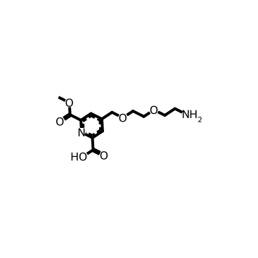 COC(=O)c1cc(COCCOCCN)cc(C(=O)O)n1